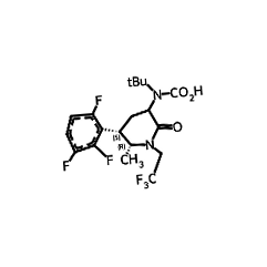 C[C@@H]1[C@H](c2c(F)ccc(F)c2F)CC(N(C(=O)O)C(C)(C)C)C(=O)N1CC(F)(F)F